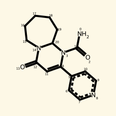 NC(=O)N1C(c2ccncc2)=CC(=O)N2CCCC[CH]C21